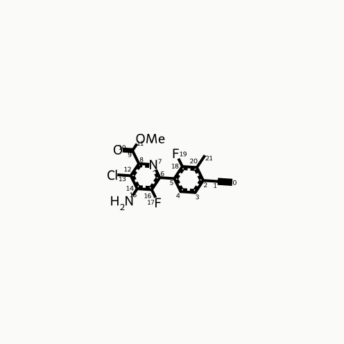 C#Cc1ccc(-c2nc(C(=O)OC)c(Cl)c(N)c2F)c(F)c1C